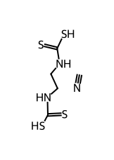 C#N.S=C(S)NCCNC(=S)S